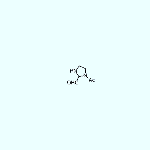 CC(=O)N1CCNC1C=O